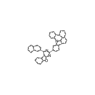 c1ccc2cc(-c3nc(-c4ccc5c6ccc7cccc8c9ccccc9n(c5c4)c6c78)nc4oc5ccccc5c34)ccc2c1